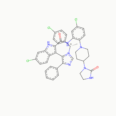 C[C@@H](c1ccc(Cl)cc1)n1cnc(-c2ccccc2)c1-c1c(C(=O)Nc2cc(Cl)ccc2N2CCC(N3CCNC3=O)CC2)[nH]c2cc(Cl)ccc12